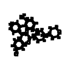 O=C(NC(c1ccncc1)c1ccc(Cl)cc1)[C@@H]1CC[C@H](N2CCOCC2)C[C@H]1c1ccc(Br)cc1